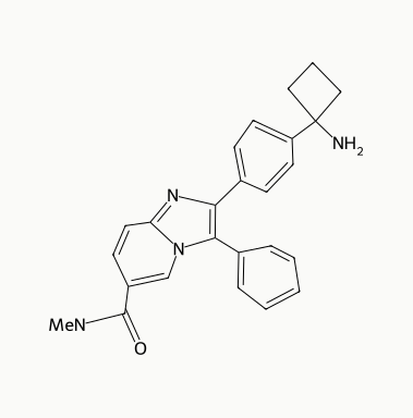 CNC(=O)c1ccc2nc(-c3ccc(C4(N)CCC4)cc3)c(-c3ccccc3)n2c1